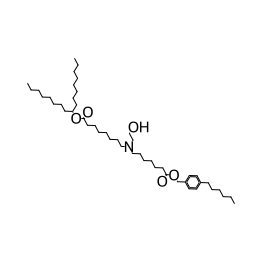 CCCCCCCCC(CCCCCCCC)OC(=O)CCCCCCCN(CCO)CCCCCCC(=O)OCc1ccc(CCCCCC)cc1